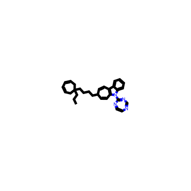 CCCC1(CCCCC2C=Cc3c(n(C4=NC=NC=C=N4)c4ccccc34)C=C2)CC=CC=CC1